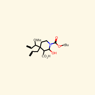 C=CCC1(C(C=C)OC)CCN(C(=O)OC(C)(C)C)C(O)C1C(=O)O